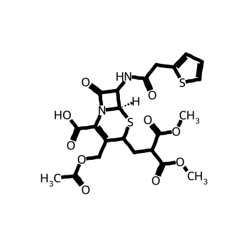 COC(=O)C(CC1S[C@@H]2C(NC(=O)Cc3cccs3)C(=O)N2C(C(=O)O)=C1COC(C)=O)C(=O)OC